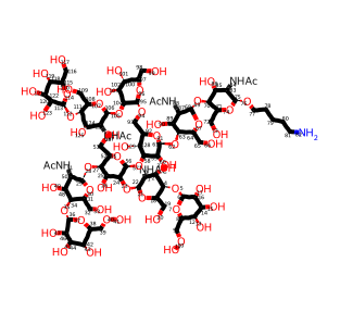 CC(=O)NC1C(O)[C@H](O[C@@H]2OC(COO)[C@H](O)C(O)C2O)C(CO)O[C@H]1OC1C(O)[C@@H](O[C@@H]2OC(CO)[C@@H](O[C@@H]3OC(COO)[C@H](O)C(O)C3O)C(O)C2NC(C)=O)C(CO)O[C@H]1OC1C(O)[C@H](O[C@@H]2C(CO)O[C@@H](O[C@@H]3C(CO)O[C@@H](OCCCCCN)C(NC(C)=O)C3O)C(NC(C)=O)C2O)OC(CO[C@H]2OC(CO)[C@@H](O)[C@H](O)C2O[C@@H]2OC(CO)[C@@H](O[C@@H]3OC(CO)[C@H](O)C(O)C3O)C(O)C2NC(C)=O)[C@H]1O